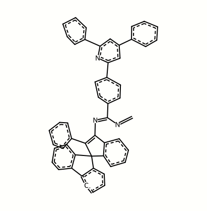 C=N/C(=N\C1=C(c2ccccc2)C2(c3ccccc31)c1ccccc1-c1ccccc12)c1ccc(-c2cc(-c3ccccc3)cc(-c3ccccc3)n2)cc1